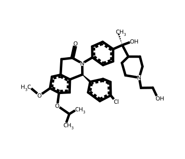 COc1cc2c(cc1OC(C)C)[C@H](c1ccc(Cl)cc1)N(c1ccc([C@@](C)(O)C3CCN(CCO)CC3)cc1)C(=O)C2